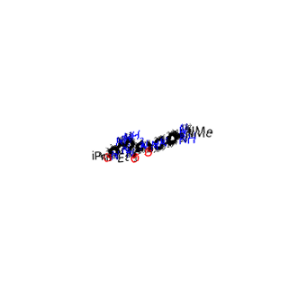 CCN(C(=O)[C@@H]1CCN(CC(=O)N2CCN(c3ccc(C(=N)/N=C\NC)cc3)CC2)C1)c1ccc(N)c(C(=N)c2ccc(OC(C)C)nc2)n1